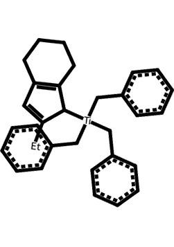 CCC1=CC2=C(CCCC2)[CH]1[Ti]([CH2]c1ccccc1)([CH2]c1ccccc1)[CH2]c1ccccc1